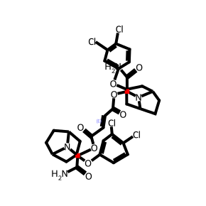 NC(=O)C(OC(=O)/C=C/C(=O)OC(C(N)=O)N1C2CCC1CC(Oc1ccc(Cl)c(Cl)c1)C2)N1C2CCC1CC(Oc1ccc(Cl)c(Cl)c1)C2